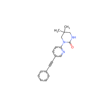 CC1(C)CNC(=O)N(c2ccc(C#Cc3ccccc3)cn2)C1